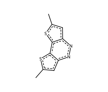 Cc1cc2nnc3cc(C)sc3c2s1